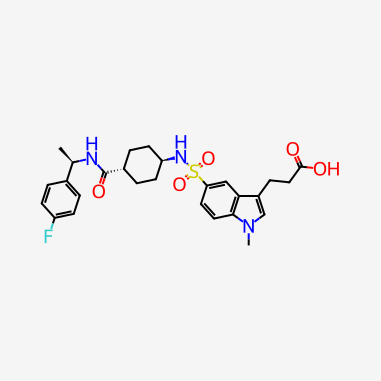 C[C@@H](NC(=O)[C@H]1CC[C@H](NS(=O)(=O)c2ccc3c(c2)c(CCC(=O)O)cn3C)CC1)c1ccc(F)cc1